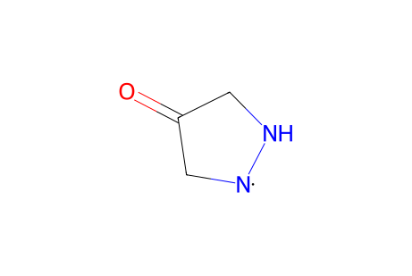 O=C1C[N]NC1